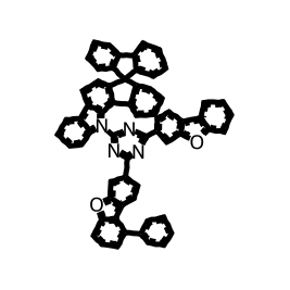 c1ccc(-c2cccc3oc4cc(-c5nc(-c6ccc7c(c6)oc6ccccc67)nc(-n6c7ccccc7c7ccc8c(c76)-c6ccccc6C86c7ccccc7-c7ccccc76)n5)ccc4c23)cc1